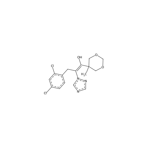 CC1(C(O)=C(Cc2ccc(Cl)cc2Cl)n2cncn2)COCOC1